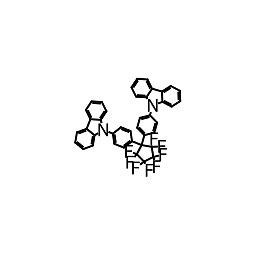 FC1(F)C(F)(F)C(F)(F)C(c2ccc(-n3c4ccccc4c4ccccc43)cc2)(c2ccc(-n3c4ccccc4c4ccccc43)cc2)C1(F)F